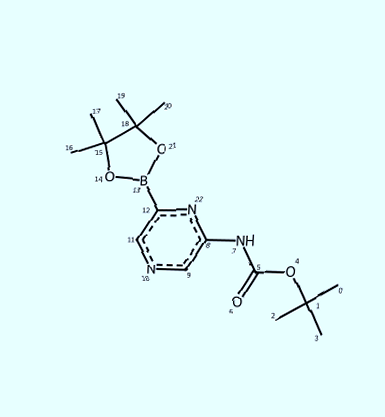 CC(C)(C)OC(=O)Nc1cncc(B2OC(C)(C)C(C)(C)O2)n1